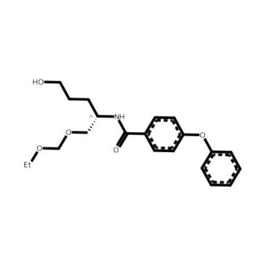 CCOCOC[C@H](CCCO)NC(=O)c1ccc(Oc2ccccc2)cc1